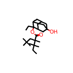 CCC1(OC(=O)C(C)(CC(C)(C)C)C(C)(C)CC)C2CC3CC1CC(O)(C3)C2